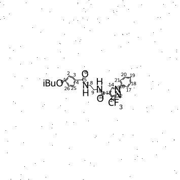 CC(C)COc1ccc(C(=O)NCCNC(=O)c2cn(-c3ccccc3)nc2C(F)(F)F)cc1